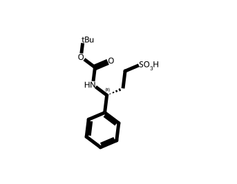 CC(C)(C)OC(=O)N[C@H](CCS(=O)(=O)O)c1ccccc1